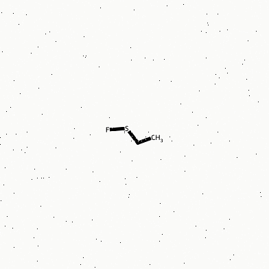 CCSF